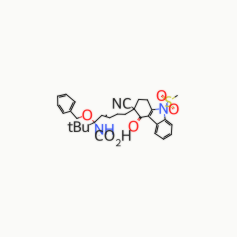 CC(C)(C)C([CH]CCCC1(C#N)CCc2c(c3ccccc3n2S(C)(=O)=O)C1=O)(NC(=O)O)OCc1ccccc1